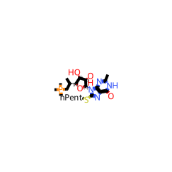 C=P(C)(C)CC(C)[C@H]1O[C@@H](n2c(SCCCCC)nc3c(=O)[nH]c(C)nc32)[C@H](O)[C@@H]1O